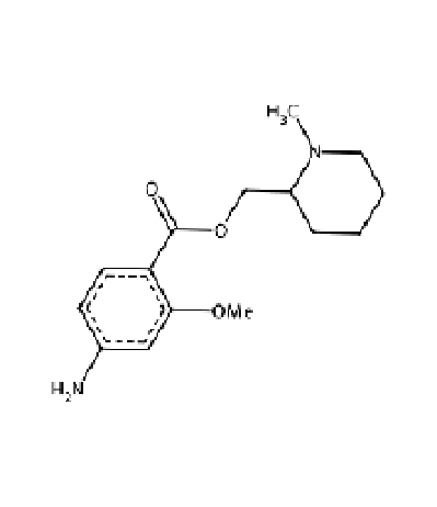 COc1cc(N)ccc1C(=O)OCC1CCCCN1C